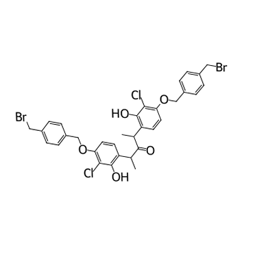 CC(C(=O)C(C)c1ccc(OCc2ccc(CBr)cc2)c(Cl)c1O)c1ccc(OCc2ccc(CBr)cc2)c(Cl)c1O